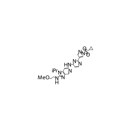 COCCNc1nc2cnc(Nc3ccnc(-c4cnn(S(=O)(=O)C5CC5)c4)n3)cc2n1C(C)C